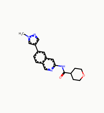 Cn1cc(-c2ccc3cnc(NC(=O)C4CCOCC4)cc3c2)cn1